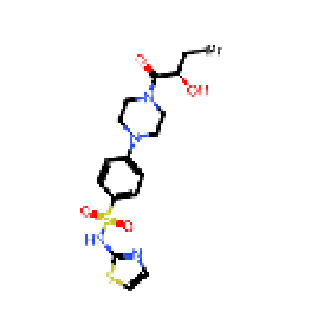 CC(C)C[C@@H](O)C(=O)N1CCN(c2ccc(S(=O)(=O)Nc3nccs3)cc2)CC1